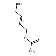 CCCCC/C=C/COC(N)=O